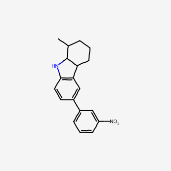 CC1CCCC2c3cc(-c4cccc([N+](=O)[O-])c4)ccc3NC12